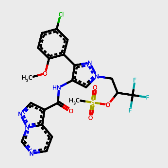 COc1ccc(Cl)cc1-c1nn(CC(OS(C)(=O)=O)C(F)(F)F)cc1NC(=O)c1cnn2cnccc12